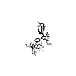 COC(=O)c1cc(-c2ccnc(N(C(=O)OC(C)(C)C)C(=O)OC(C)(C)C)c2)cc(Nc2ccnc3c(F)ccc(F)c23)c1[N+](=O)[O-]